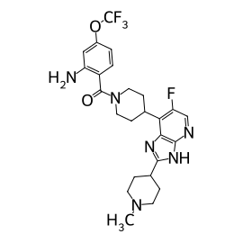 CN1CCC(c2nc3c(C4CCN(C(=O)c5ccc(OC(F)(F)F)cc5N)CC4)c(F)cnc3[nH]2)CC1